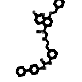 O=C(Nc1ccc(-c2ccccc2)cc1)Nc1cccc(CCNC[C@H](O)c2ccc(OCc3ccccc3)c3[nH]c(=O)ccc23)c1